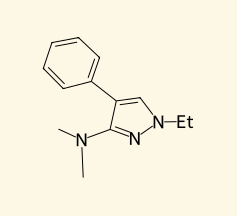 CCn1cc(-c2ccccc2)c(N(C)C)n1